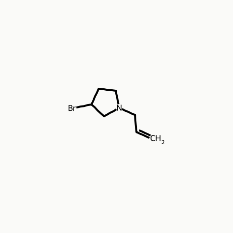 C=CCN1CCC(Br)C1